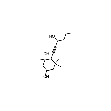 CCCC(O)C#CC1C(C)(C)CC(O)CC1(C)O